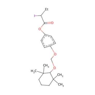 CCC(I)C(=O)Oc1ccc(OCOC2C(C)(C)CCCC2(C)C)cc1